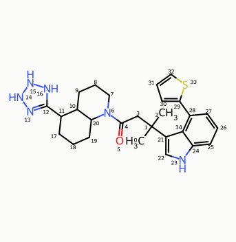 CC(C)(CC(=O)N1CCCC2C(C3=NNNN3)CCCC21)c1c[nH]c2cccc(-c3cccs3)c12